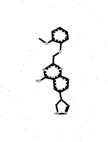 COc1ccccc1OCc1nc(O)c2cc(C3C=NNC3)ccc2n1